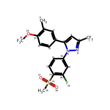 Cc1cc(-c2cc(C(F)(F)F)nn2-c2ccc(S(C)(=O)=O)c(F)c2)ccc1OC(F)(F)F